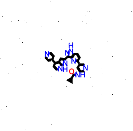 O=C(Nc1cncc(-c2ccc3[nH]nc(-c4cc5c(-c6ccncc6)ccnc5[nH]4)c3n2)c1)C1CC1